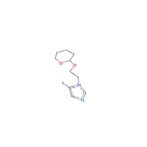 Ic1cncn1CCOC1CCCCO1